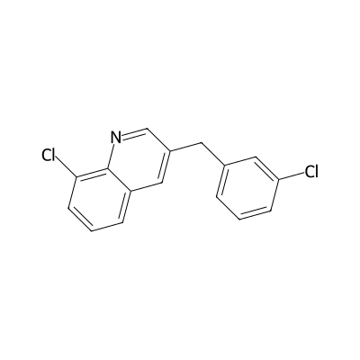 Clc1cccc(Cc2cnc3c(Cl)cccc3c2)c1